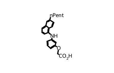 CCCCCc1ccc2c(Nc3cccc(OCC(=O)O)c3)cccc2c1